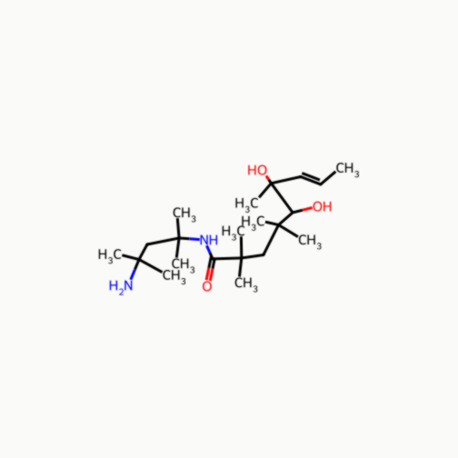 CC=CC(C)(O)C(O)C(C)(C)CC(C)(C)C(=O)NC(C)(C)CC(C)(C)N